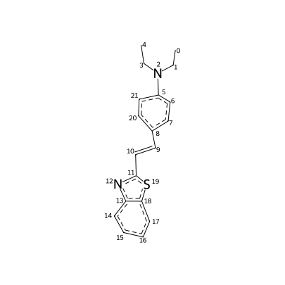 CCN(CC)c1ccc(C=Cc2nc3ccccc3s2)cc1